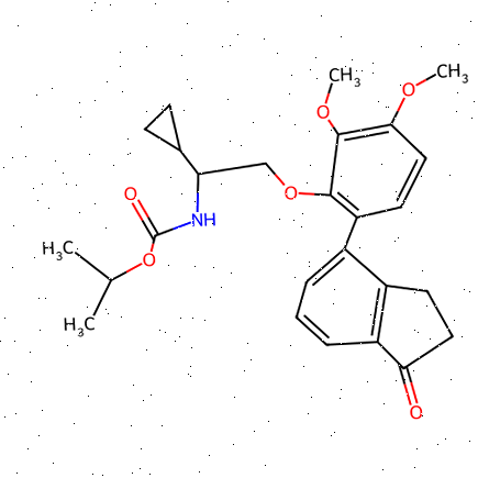 COc1ccc(-c2cccc3c2CCC3=O)c(OCC(NC(=O)OC(C)C)C2CC2)c1OC